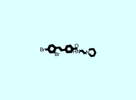 O=C(NCCN1CCCCC1)c1ccc(/C=C/c2ccc(Br)cc2Br)cc1